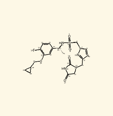 C[C@@H](NS(=O)(=O)Cn1cnc(CN2CC(=O)NC2=O)n1)c1ccc(F)c(OCC2CC2)c1